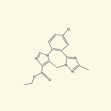 CCOC(=O)c1ncn2c1Cn1nc(C)nc1-c1cc(Cl)ccc1-2